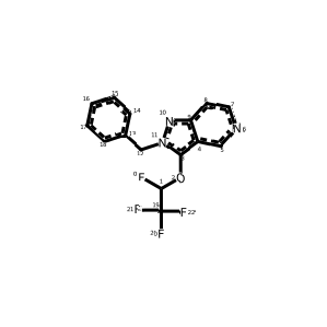 FC(Oc1c2cnccc2nn1Cc1ccccc1)C(F)(F)F